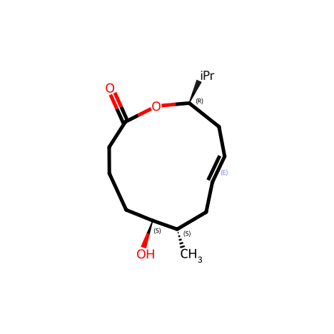 CC(C)[C@H]1C/C=C/C[C@H](C)[C@@H](O)CCCC(=O)O1